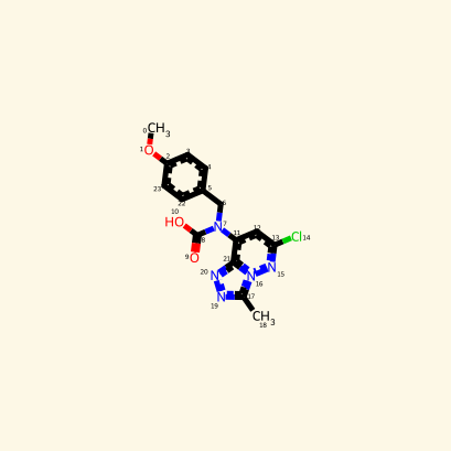 COc1ccc(CN(C(=O)O)c2cc(Cl)nn3c(C)nnc23)cc1